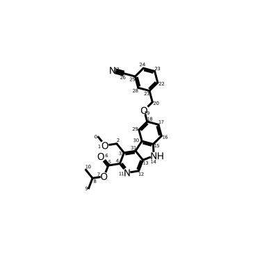 COCc1c(C(=O)OC(C)C)ncc2[nH]c3ccc(OCc4cccc(C#N)c4)cc3c12